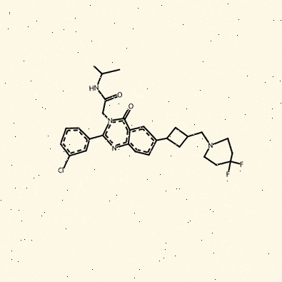 CC(C)NC(=O)Cn1c(-c2cccc(Cl)c2)nc2ccc(C3CC(CN4CCC(F)(F)CC4)C3)cc2c1=O